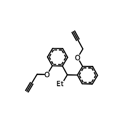 C#CCOc1ccccc1C(CC)c1ccccc1OCC#C